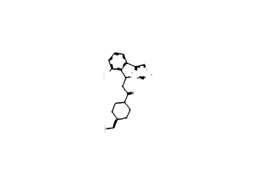 O=C(CC1c2c(F)cccc2-c2cncn21)C1CCC(=CI)CC1